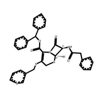 O=C(Cc1ccccc1)N[C@@H]1C(=O)N2C(C(=O)OC(c3ccccc3)c3ccccc3)=C(SCc3cccnc3)CS[C@H]12